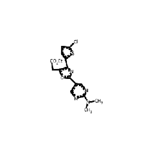 CCOC(=O)Cc1oc(-c2cnc(N(C)C)nc2)nc1-c1ccc(Cl)s1